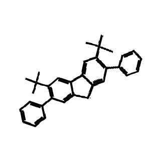 CC(C)(C)c1cc2c(cc1-c1ccccc1)[CH]c1cc(-c3ccccc3)c(C(C)(C)C)cc1-2